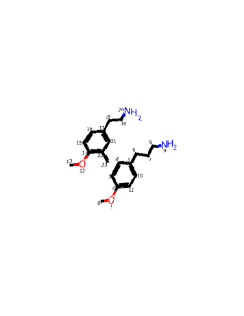 COc1ccc(CCCN)cc1.COc1ccc(CCN)cc1C